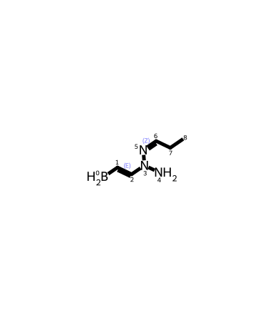 B/C=C/N(N)/N=C\CC